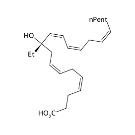 CCCCC/C=C\C/C=C\C=C/[C@](O)(CC)C/C=C\C/C=C\CCC(=O)O